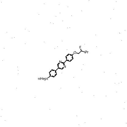 CCCCCCCc1ccc(-c2cnc(-c3ccc(OCC(F)C(C)C)cc3)nc2)cc1